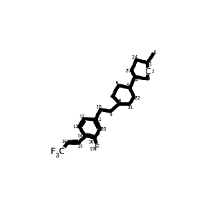 CC1CCC(C2CCC(CCc3ccc(/C=C/C(F)(F)F)c(F)c3)CC2)CC1